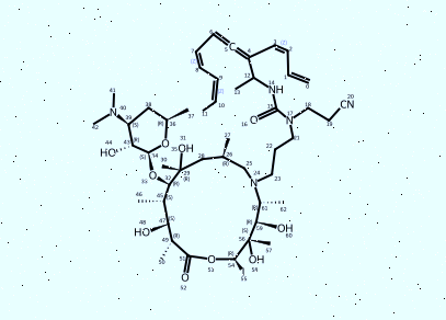 C=C/C=C\C(=C=C/C=C\C=C/C)C(C)NC(=O)N(CCC#N)CCCN1C[C@H](C)C[C@@](C)(O)[C@H](O[C@@H]2O[C@H](C)C[C@H](N(C)C)[C@H]2O)[C@@H](C)[C@H](O)[C@@H](C)C(=O)O[C@H](I)[C@@](C)(O)[C@H](O)[C@H]1C